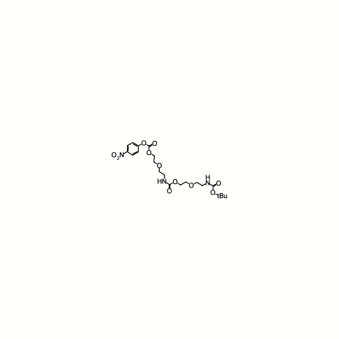 CC(C)(C)OC(=O)NCCOCCOC(=O)NCCOCCOC(=O)Oc1ccc([N+](=O)[O-])cc1